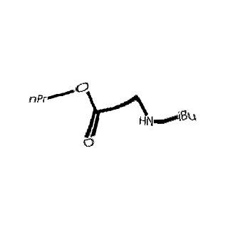 CCCOC(=O)CNC(C)CC